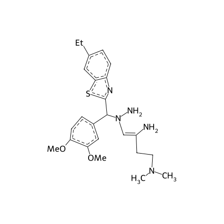 CCc1ccc2nc(C(c3ccc(OC)c(OC)c3)N(N)/C=C(\N)CCN(C)C)sc2c1